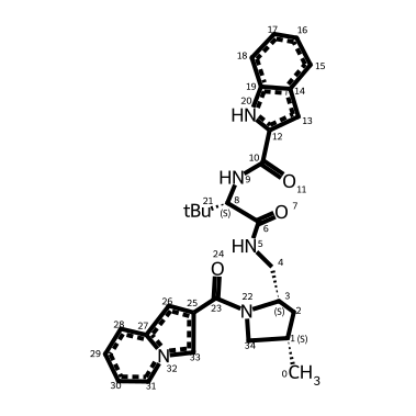 C[C@H]1C[C@@H](CNC(=O)[C@@H](NC(=O)c2cc3ccccc3[nH]2)C(C)(C)C)N(C(=O)c2cc3ccccn3c2)C1